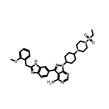 CCS(=O)(=O)N1CCN(C2CCC(n3nc(-c4ccc5nc(Cc6ccccc6OC)[nH]c5c4)c4c(N)ncnc43)CC2)CC1